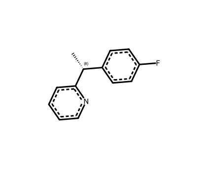 C[C@H](c1ccc(F)cc1)c1ccccn1